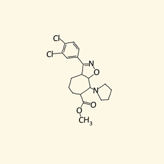 COC(=O)C1CCCC2C(c3ccc(Cl)c(Cl)c3)=NOC2C1N1CCCC1